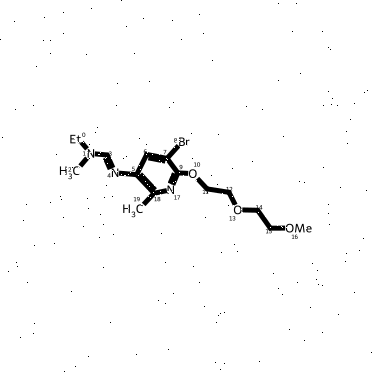 CCN(C)/C=N/c1cc(Br)c(OCCOCCOC)nc1C